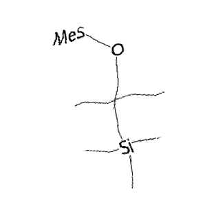 CSOC(C)(C)[Si](C)(C)C